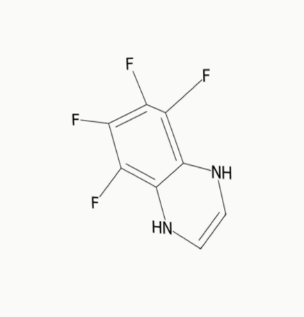 Fc1c(F)c(F)c2c(c1F)NC=CN2